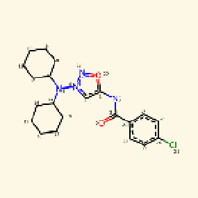 O=C([N-]c1c[n+](N(C2CCCCC2)C2CCCCC2)no1)c1ccc(Cl)cc1